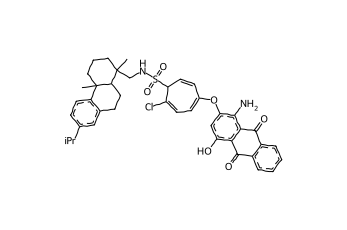 CC(C)c1ccc2c(c1)CCC1C(C)(CNS(=O)(=O)C3C=CC(Oc4cc(O)c5c(c4N)C(=O)c4ccccc4C5=O)=CC=C3Cl)CCCC21C